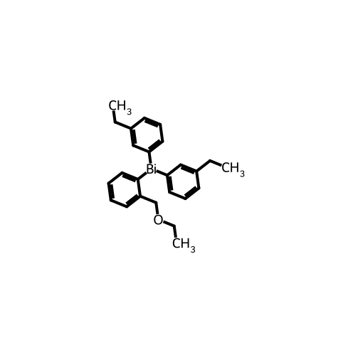 CCOCc1cccc[c]1[Bi]([c]1cccc(CC)c1)[c]1cccc(CC)c1